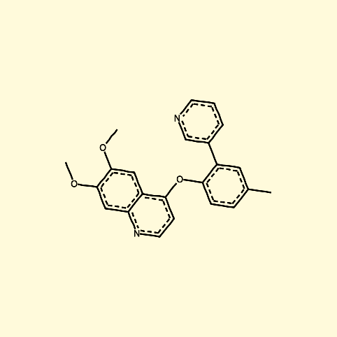 COc1cc2nccc(Oc3ccc(C)cc3-c3cccnc3)c2cc1OC